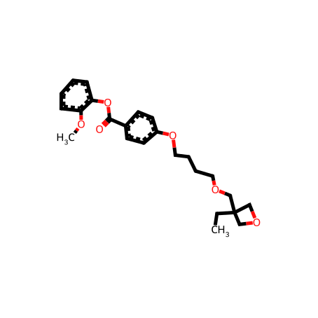 CCC1(COCCCCOc2ccc(C(=O)Oc3ccccc3OC)cc2)COC1